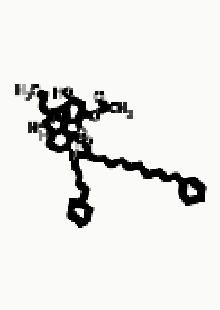 C=CCN1CC[C@]23c4c5c(O)cc(OC(C)=O)c4O[C@H]2[C@H](N(CCCCc2ccccc2)C(=O)CCCCCCCCCCc2ccccc2)CC[C@H]3[C@H]1C5